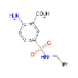 CC(C)CNS(=O)(=O)c1ccc(N)c(C(=O)O)c1